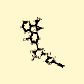 C#Cc1nc(NC(=O)NC(C(=O)NC)c2ccc(-c3cccnc3C3(C#N)CC3)c(Cl)c2)cs1